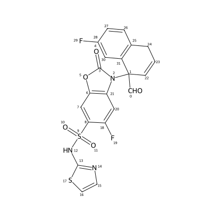 O=CC1(n2c(=O)oc3cc(S(=O)(=O)Nc4nccs4)c(F)cc32)C=CCc2ccc(F)cc21